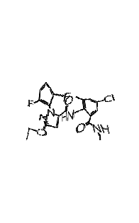 CCOc1cc(C(=O)Nc2c(C)cc(Cl)cc2C(=O)NC)n(-c2c(F)cccc2F)n1